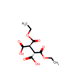 CCOC(=O)[C@H](C(=O)O)[C@@H](C(=O)O)C(=O)OCC